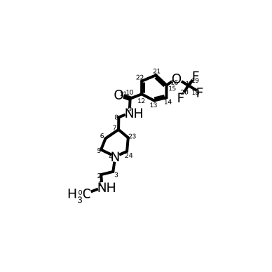 CNCCN1CCC(CNC(=O)c2ccc(OC(F)(F)F)cc2)CC1